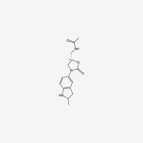 CC(=O)NC[C@H]1CN(c2ccc3c(c2)CC(C)N3)C(=O)O1